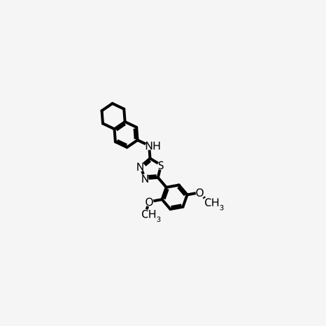 COc1ccc(OC)c(-c2nnc(Nc3ccc4c(c3)CCCC4)s2)c1